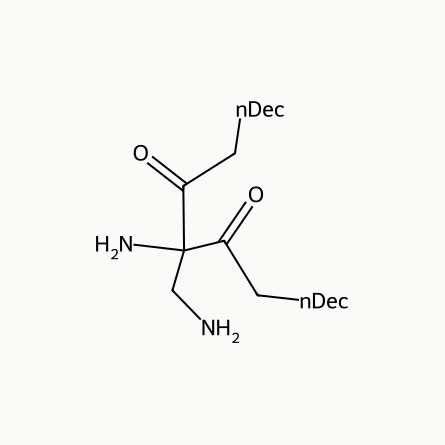 CCCCCCCCCCCC(=O)C(N)(CN)C(=O)CCCCCCCCCCC